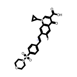 O=C(O)c1cn(C2CC2)c2cc(/C=C/c3ccc(S(=O)(=O)N4CCOCC4)cc3)c(F)cc2c1=O